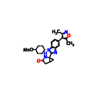 CO[C@H]1CC[C@H](n2c(C34CC3CC(=O)N4)nc3cc(-c4c(C)noc4C)ccc32)CC1